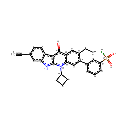 C#Cc1ccc2c(c1)[nH]c1c2c(=O)c2cc(CC(C)C)c(-c3cccc(S(=O)(=O)F)c3)cc2n1C1CCC1